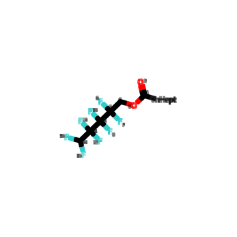 CCCCCCCC(=O)OCC(F)(F)C(F)(F)C(F)(F)C(F)F